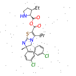 CC[C@@H]1CCN[C@@H]1C(=O)OC(=O)C1=C(C(C)C)N2C(=N[C@@](C)(c3ccc(Cl)cc3)[C@H]2c2ccc(Cl)cc2)S1